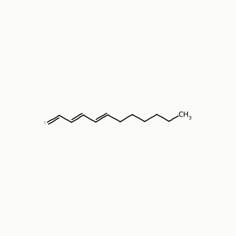 [C]=CC=CC=CCCCCCC